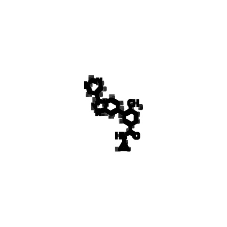 Cc1ccc(C(=O)NC2CC2)cc1-c1ccn2c(-c3cncnc3)nnc2c1